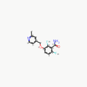 Cc1cc(COc2ccc(F)c(C(N)=O)c2F)ccn1